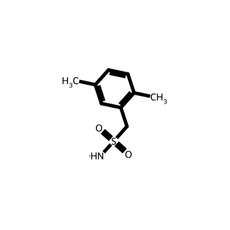 Cc1ccc(C)c(CS([NH])(=O)=O)c1